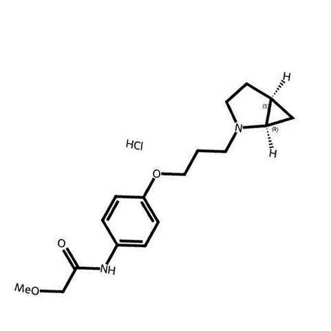 COCC(=O)Nc1ccc(OCCCN2CC[C@H]3C[C@H]32)cc1.Cl